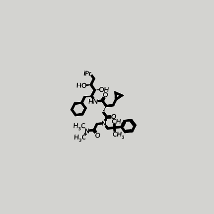 CC(C)C[C@H](O)[C@H](O)[C@H](CC1CCCCC1)NC(=O)[C@@H](CC(=O)N(CC(=O)N(C)C)CC(C)(C)c1ccccc1)CC1CC1